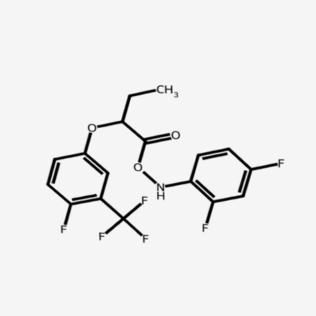 CCC(Oc1ccc(F)c(C(F)(F)F)c1)C(=O)ONc1ccc(F)cc1F